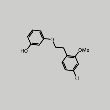 COc1cc(Cl)ccc1CCOc1c[c]cc(O)c1